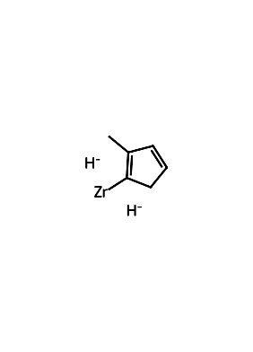 CC1=[C]([Zr])CC=C1.[H-].[H-]